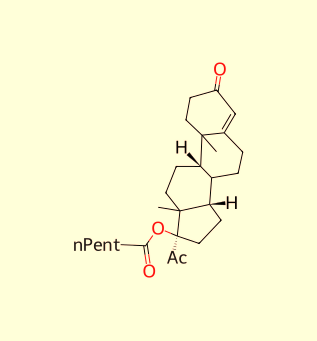 CCCCCC(=O)O[C@]1(C(C)=O)CC[C@H]2C3CCC4=CC(=O)CCC4(C)[C@H]3CCC21C